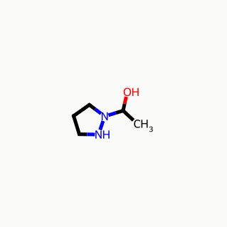 CC(O)N1CCCN1